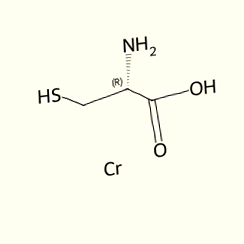 N[C@@H](CS)C(=O)O.[Cr]